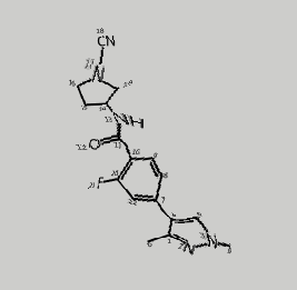 Cc1nn(C)cc1-c1ccc(C(=O)NC2CCN(C#N)C2)c(F)c1